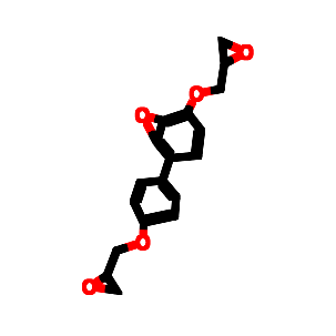 c1cc(-c2ccc(OCC3CO3)c3c2O3)ccc1OCC1CO1